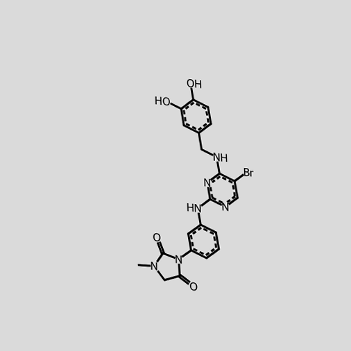 CN1CC(=O)N(c2cccc(Nc3ncc(Br)c(NCc4ccc(O)c(O)c4)n3)c2)C1=O